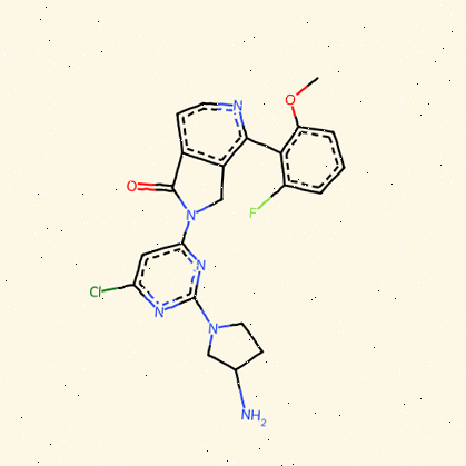 COc1cccc(F)c1-c1nccc2c1CN(c1cc(Cl)nc(N3CCC(N)C3)n1)C2=O